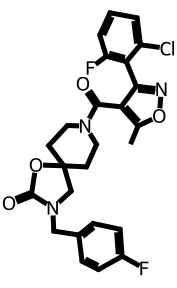 Cc1onc(-c2c(F)cccc2Cl)c1C(=O)N1CCC2(CC1)CN(Cc1ccc(F)cc1)C(=O)O2